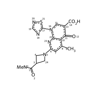 CNC(=O)C1CN(c2cc(C)c3c(=O)c(C(=O)O)cn(-c4ncns4)c3n2)C1